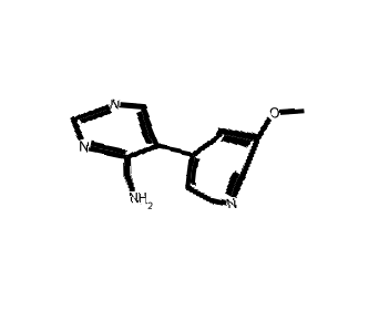 COc1cncc(-c2cncnc2N)c1